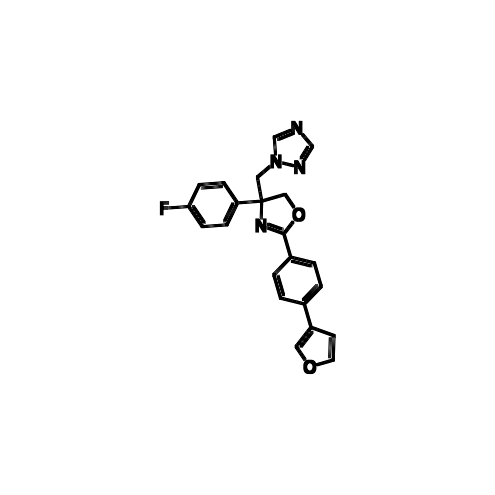 Fc1ccc(C2(Cn3cncn3)COC(c3ccc(-c4ccoc4)cc3)=N2)cc1